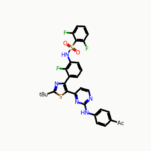 CC(=O)c1ccc(Nc2nccc(-c3sc(C(C)(C)C)nc3-c3cccc(NS(=O)(=O)c4c(F)cccc4F)c3F)n2)cc1